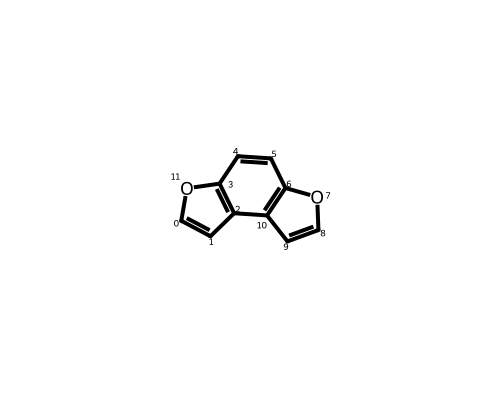 c1cc2c(ccc3occc32)o1